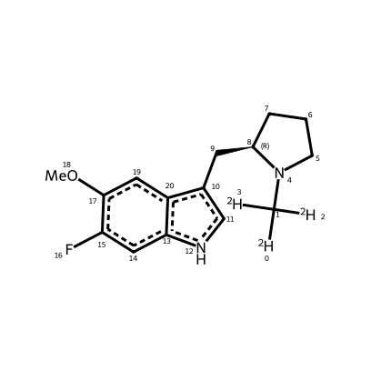 [2H]C([2H])([2H])N1CCC[C@@H]1Cc1c[nH]c2cc(F)c(OC)cc12